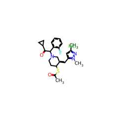 CC(=O)SC1CCN(C(C(=O)C2CC2)c2ccccc2F)C/C1=C\c1cc(C)nn1C.Cl